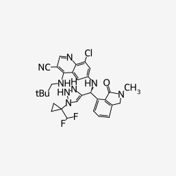 CN1Cc2cccc([C@H](Nc3cc(Cl)c4ncc(C#N)c(NCC(C)(C)C)c4c3)C3=CN(C4(C(F)F)CC4)NN3)c2C1=O